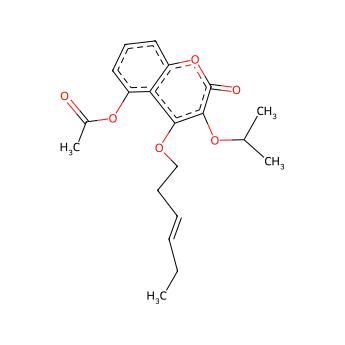 CCC=CCCOc1c(OC(C)C)c(=O)oc2cccc(OC(C)=O)c12